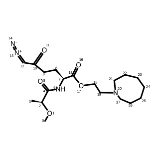 CO[C@@H](C)C(=O)N[C@@H](CCC(=O)C=[N+]=[N-])C(=O)OCCN1CCCCCCC1